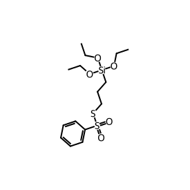 CCO[Si](CCCSS(=O)(=O)c1ccccc1)(OCC)OCC